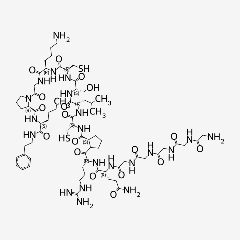 CCCC[C@H](NC(=O)[C@H]1CCCN1C(=O)CNC(=O)[C@@H](CCCCN)NC(=O)[C@@H](CS)NC(=O)[C@H](CO)NC(=O)[C@H](CC(C)C)NC(=O)[C@@H](CS)NC(=O)[C@H]1CCCC1C(=O)[C@@H](CCCNC(=N)N)NC(=O)[C@@H](CCC(N)=O)NC(=O)CNC(=O)CNC(=O)CNC(=O)CNC(=O)CN)C(=O)NCCc1ccccc1